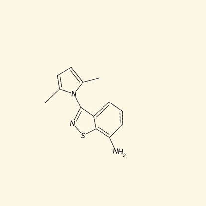 Cc1ccc(C)n1-c1nsc2c(N)cccc12